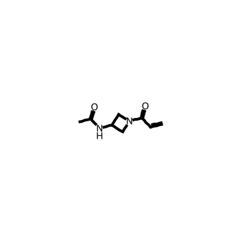 C=CC(=O)N1CC(NC(C)=O)C1